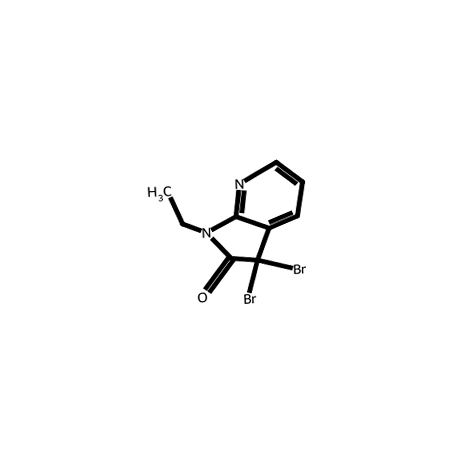 CCN1C(=O)C(Br)(Br)c2cccnc21